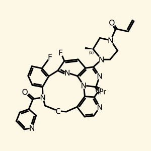 C=CC(=O)N1CCN(c2nc(=O)n3c4nc(c(F)cc24)-c2c(F)cccc2N(C(=O)c2cccnc2)CCCc2ccnc(C(C)C)c2-3)[C@@H](C)C1